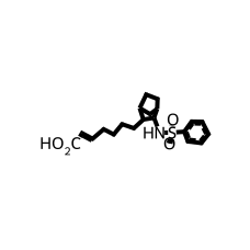 O=C(O)C=CCCCCC1C2CCC(C2)C1NS(=O)(=O)c1ccccc1